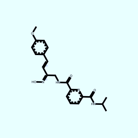 COc1ccc(/C=C/C(CNC(=O)c2cccc(C(=O)NC(C)C)n2)=N\O)cc1